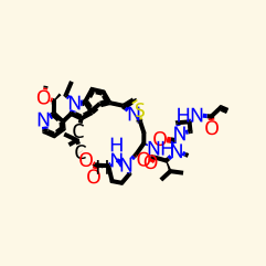 C=CC(=O)NC1CN(C(=O)N(C)[C@H](C(=O)N[C@H]2Cc3nc(cs3)-c3ccc4c(c3)c(c(-c3cccnc3[C@H](C)OC)n4CC)CC(C)(C)COC(=O)[C@@H]3CCCN(N3)C2=O)C(C)C)C1